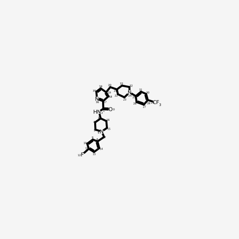 O=C(NC1CCN(Cc2ccc(F)cc2)CC1)c1cc(CC2CCN(c3ccc(C(F)(F)F)cc3)CC2)ccn1